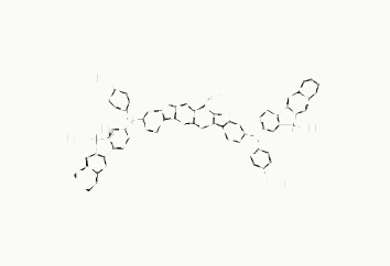 CC(C)c1c2cc3oc4cc(N(c5ccc(C(C)(C)C)cc5)c5ccc6c(c5)C(C)(C)c5cc7ccccc7cc5-6)ccc4c3cc2cc2c1oc1cc(N(c3ccc(C(C)(C)C)cc3)c3ccc4c(c3)C(C)(C)c3cc5ccccc5cc3-4)ccc12